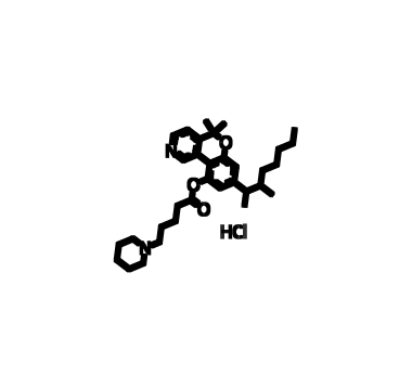 CCCCCC(C)C(C)c1cc(OC(=O)CCCCN2CCCCC2)c2c(c1)OC(C)(C)c1ccncc1-2.Cl